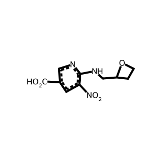 O=C(O)c1cnc(NCC2CCO2)c([N+](=O)[O-])c1